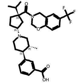 CC(C)[C@]1(C(=O)N2COc3ccc(C(F)(F)F)cc3C2)CC[C@@H](N2CC[C@H](c3cccc(C(=O)O)c3)[C@@H](C)C2)C1